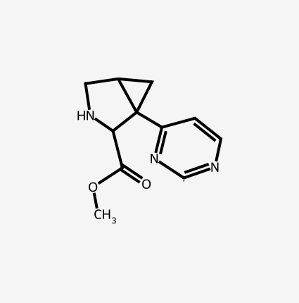 COC(=O)C1NCC2CC21c1ccn[c]n1